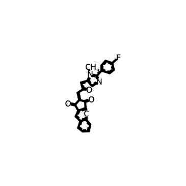 Cn1c(-c2ccc(F)cc2)nc2oc(C=C3C(=O)c4cc5ccccc5cc4C3=O)cc21